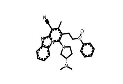 Cc1c(CC[S+]([O-])c2ccccc2)c(N2CC[C@H](N(C)C)C2)n2c(nc3ccccc32)c1C#N